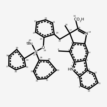 Cc1c2c(cc3c1[nH]c1ccccc13)N=C(C(=O)O)C2(C)Cc1ccccc1O[Si](c1ccccc1)(c1ccccc1)C(C)(C)C